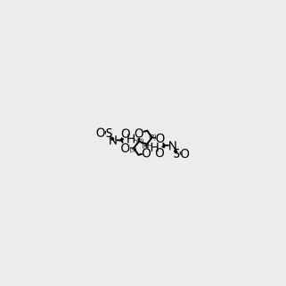 O=S=NC(=O)O[C@H]1CO[C@H]2[C@@H]1OC[C@H]2OC(=O)N=S=O